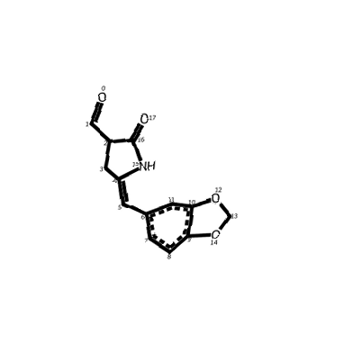 O=CC1CC(=Cc2ccc3c(c2)OCO3)NC1=O